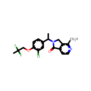 CC(c1ccc(OCC(C)(F)F)c(Cl)c1)N1Cc2c(ccnc2C(=O)O)C1=O